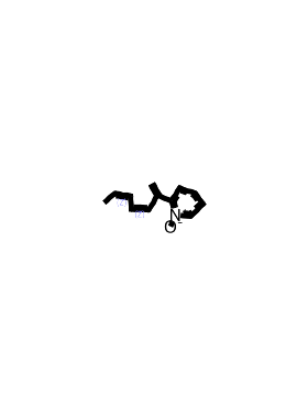 C=C(/C=C\C=C/C)c1cccc[n+]1[O-]